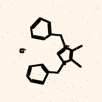 Cc1c(C)[n+](Cc2ccccc2)cn1Cc1ccccc1.[Cl-]